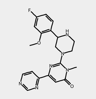 COc1cc(F)ccc1C1CN(c2nc(-c3ccncn3)cc(=O)n2C)CCN1